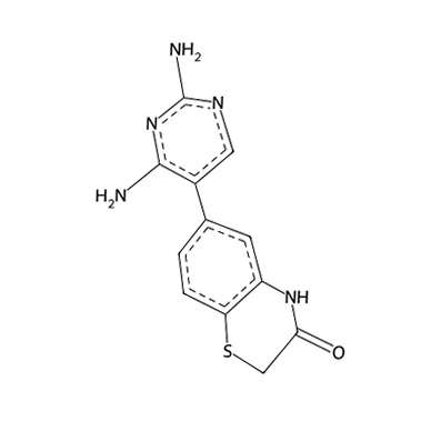 Nc1ncc(-c2ccc3c(c2)NC(=O)CS3)c(N)n1